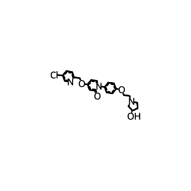 O=c1cc(OCc2ccc(Cl)cn2)ccn1-c1ccc(OCCN2CC[C@@H](O)C2)cc1